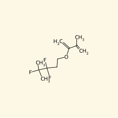 C=C(C)C(=C)OCCC(F)(F)C(C)(C)F